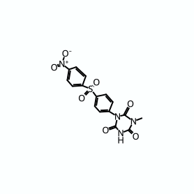 Cn1c(=O)[nH]c(=O)n(-c2ccc(S(=O)(=O)c3ccc([N+](=O)[O-])cc3)cc2)c1=O